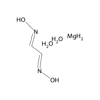 O.O.O/N=C/C=N/O.[MgH2]